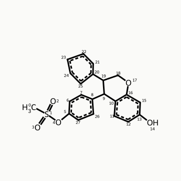 CS(=O)(=O)Oc1ccc(C2c3ccc(O)cc3OCC2c2ccccc2)cc1